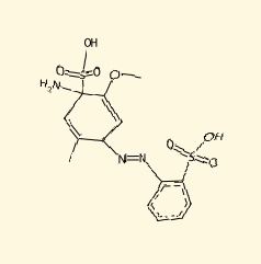 COC1=CC(/N=N/c2ccccc2S(=O)(=O)O)C(C)=CC1(N)S(=O)(=O)O